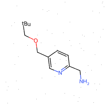 CC(C)(C)COCc1ccc(CN)nc1